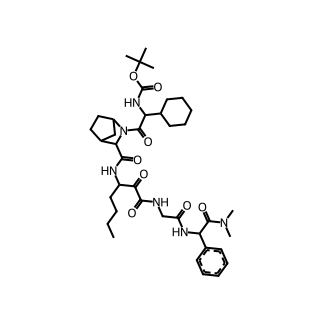 CCCCC(NC(=O)C1C2CCC(C2)N1C(=O)C(NC(=O)OC(C)(C)C)C1CCCCC1)C(=O)C(=O)NCC(=O)NC(C(=O)N(C)C)c1ccccc1